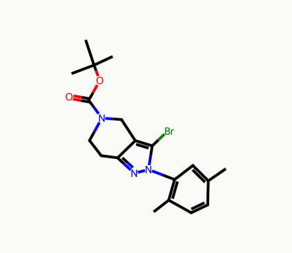 Cc1ccc(C)c(-n2nc3c(c2Br)CN(C(=O)OC(C)(C)C)CC3)c1